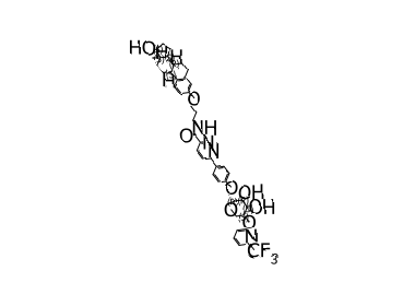 C[C@]12CC[C@@H]3c4ccc(OCCCNC(=O)c5ccc(-c6ccc(OC[C@H]7OC[C@H](Oc8cccc(C(F)(F)F)n8)[C@@H](O)[C@H]7O)cc6)nn5)cc4CC[C@H]3[C@@H]1CC[C@@H]2O